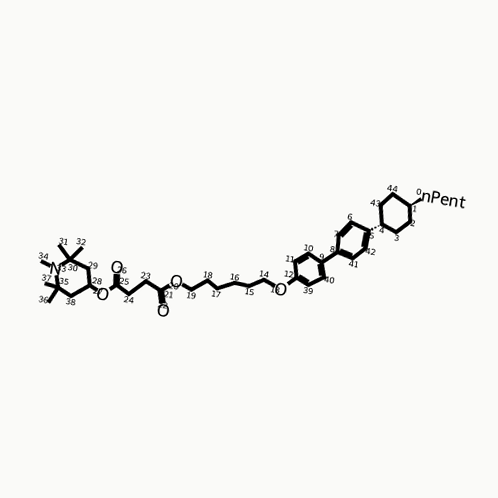 CCCCC[C@H]1CC[C@H](c2ccc(-c3ccc(OCCCCCCOC(=O)CCC(=O)OC4CC(C)(C)N(C)C(C)(C)C4)cc3)cc2)CC1